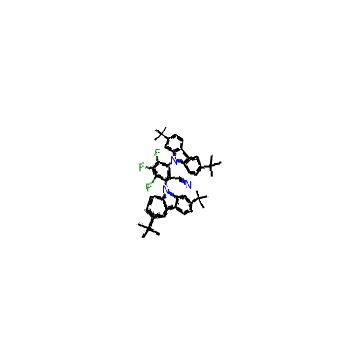 CC(C)(C)c1ccc2c(c1)c1ccc(C(C)(C)C)cc1n2-c1c(F)c(F)c(F)c(-n2c3ccc(C(C)(C)C)cc3c3ccc(C(C)(C)C)cc32)c1C#N